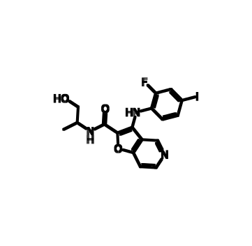 CC(CO)NC(=O)c1oc2ccncc2c1Nc1ccc(I)cc1F